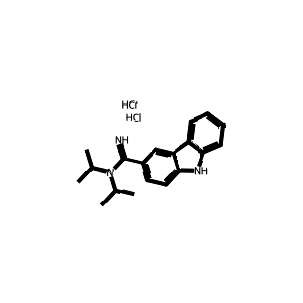 CC(C)N(C(=N)c1ccc2[nH]c3ccccc3c2c1)C(C)C.Cl.Cl